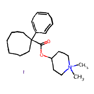 C[N+]1(C)CCC(OC(=O)C2(c3ccccc3)CCCCCC2)CC1.[I-]